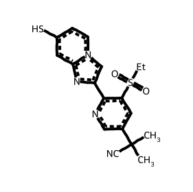 CCS(=O)(=O)c1cc(C(C)(C)C#N)cnc1-c1cn2ccc(S)cc2n1